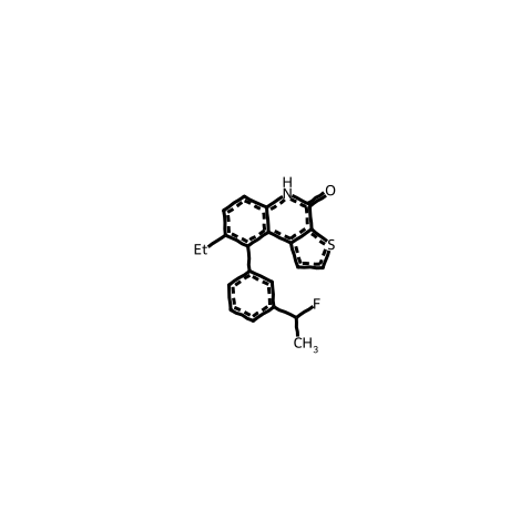 CCc1ccc2[nH]c(=O)c3sccc3c2c1-c1cccc(C(C)F)c1